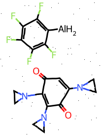 Fc1c(F)c(F)[c]([AlH2])c(F)c1F.O=C1C=C(N2CC2)C(=O)C(N2CC2)=C1N1CC1